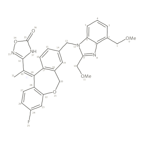 COCc1cccc2c1nc(COC)n2Cc1ccc2c(c1)COc1cc(F)ccc1/C2=C(\C)c1noc(=O)[nH]1